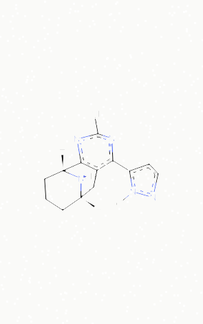 Cc1nc(-c2ccnn2C)c2c(n1)[C@H]1CCC[C@@H](C2)N1C=O